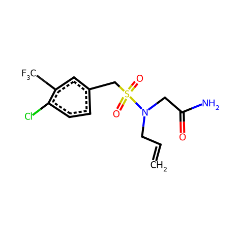 C=CCN(CC(N)=O)S(=O)(=O)Cc1ccc(Cl)c(C(F)(F)F)c1